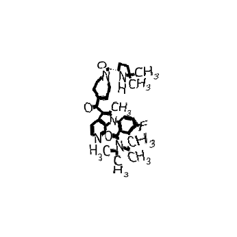 Cc1c(C(=O)C2CCN(C(=O)[C@@H]3CCC(C)(C)N3)CC2)c2ccncc2n1-c1ccc(F)cc1C(=O)N(C(C)C)C(C)C